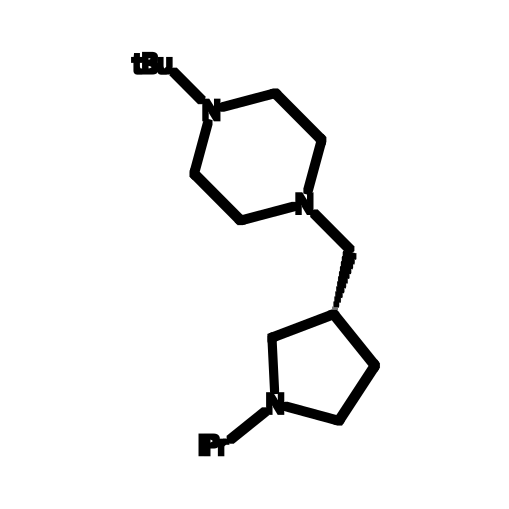 CC(C)N1CC[C@@H](CN2CCN(C(C)(C)C)CC2)C1